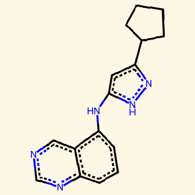 c1cc(Nc2cc(C3CCCC3)n[nH]2)c2cncnc2c1